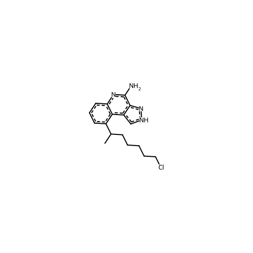 CC(CCCCCCl)c1cccc2nc(N)c3n[nH]cc3c12